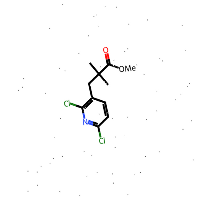 COC(=O)C(C)(C)Cc1ccc(Cl)nc1Cl